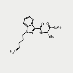 C=CCCCn1nc(C(=O)N[C@H](C(=O)NC)C(C)(C)C)c2ccccc21